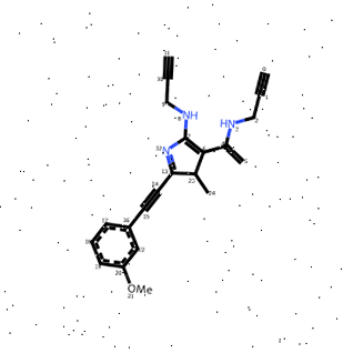 C#CCNC(=C)C1=C(NCC#C)N=C(C#Cc2cccc(OC)c2)C1C